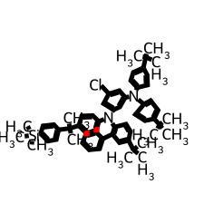 CC(C)(C)c1ccc(N(c2ccc(C(C)(C)C)cc2)c2cc(Cl)cc(N(c3ccc(C(C)(C)c4ccc([Si](C)(C)C)cc4)cc3)c3ccc(C(C)(C)C)cc3-c3ccccc3)c2)cc1